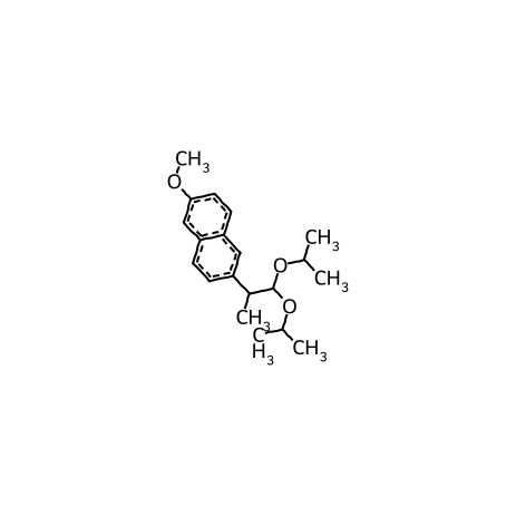 COc1ccc2cc(C(C)C(OC(C)C)OC(C)C)ccc2c1